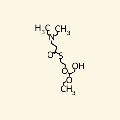 CCOC(CO)OCCSC(=O)CCN(CC)CC